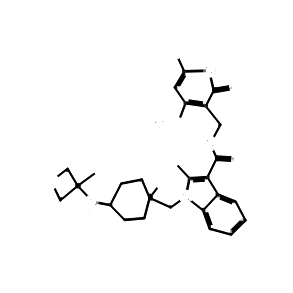 CSc1cc(C)[nH]c(=O)c1CNC(=O)c1c(C)n(CC2(F)CCC(NC3(C)COC3)CC2)c2ccccc12